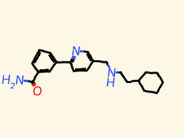 NC(=O)c1cccc(-c2ccc(CNCCC3CCCCC3)cn2)c1